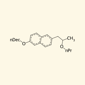 CCCCCCCCCCOc1ccc2cc(CC(C)OCCC)ccc2c1